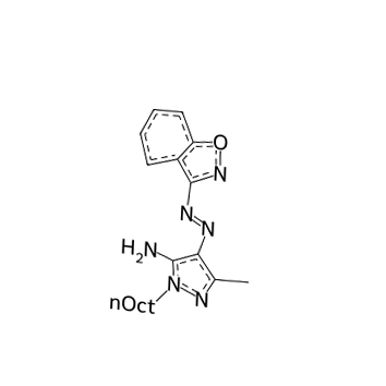 CCCCCCCCn1nc(C)c(N=Nc2noc3ccccc23)c1N